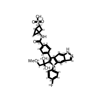 COCC(C)(C)c1c(-c2ccc(C(=O)N[C@@]34CC3[C@@H](S(C)(=O)=O)C4)cc2)c2cc3[nH]ncc3cc2n1-c1ccc(F)cc1